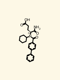 NC(=O)[C@H](CCC(=O)O)N(C(=O)c1ccc(-c2ccccc2)cc1)C1CCCCC1